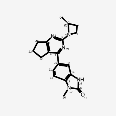 C[C@H]1CCN1c1nc2c(c(-c3ccc4c(c3)[nH]c(=O)n4C)n1)CCC2